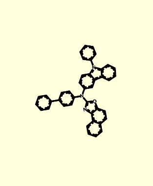 c1ccc(-c2ccc(N(c3ccc4c(c3)c3ccccc3n4-c3ccccc3)c3nc4c(ccc5ccccc54)o3)cc2)cc1